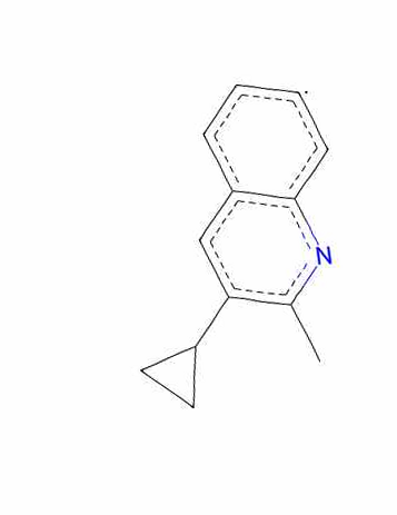 Cc1nc2c[c]ccc2cc1C1CC1